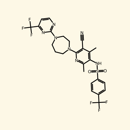 Cc1nc(N2CCCN(c3nccc(C(F)(F)F)n3)CC2)c(C#N)c(C)c1NS(=O)(=O)c1ccc(C(F)(F)F)cc1